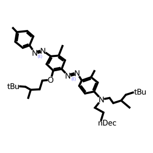 CCCCCCCCCCCCN(CCC(C)CC(C)(C)C)c1ccc(/N=N/c2cc(C)c(/N=N/c3ccc(C)cc3)cc2OCCC(C)CC(C)(C)C)c(C)c1